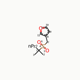 CCCC(C)(C)S(=O)(=O)Cc1ccoc1